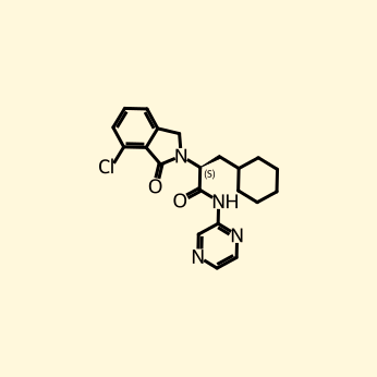 O=C(Nc1cnccn1)[C@H](CC1CCCCC1)N1Cc2cccc(Cl)c2C1=O